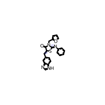 O=C1/C(=C/c2ccc3[nH]cnc3c2)S/C(=N\c2ccccc2)N1Cc1ccco1